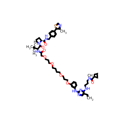 C=Cc1cnc(Nc2cccc(OCCCOCCCCOCCCOCC(=O)NC(C(=O)N3CCC[C@H]3C(=O)NCc3ccc(-c4scnc4C)cc3)C(C)(C)C)c2)nc1NCCCN(C)C(=O)C1CCC1